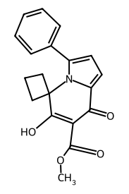 COC(=O)C1=C(O)C2(CCC2)n2c(ccc2-c2ccccc2)C1=O